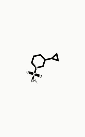 CS(=O)(=O)N1CC[CH]C(C2CC2)C1